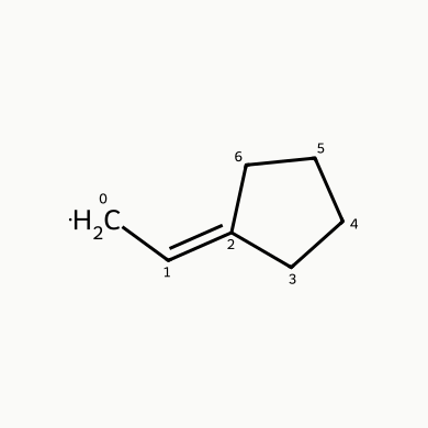 [CH2]C=C1CCCC1